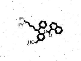 CC(C)N(CCCCC(c1ccccc1)c1cc(CO)ccc1OC(=O)c1cccc2ccccc12)C(C)C